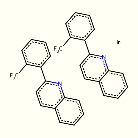 FC(F)(F)c1ccccc1-c1ccc2ccccc2n1.FC(F)(F)c1ccccc1-c1ccc2ccccc2n1.[Ir]